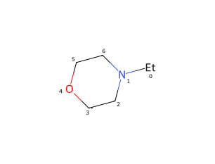 CCN1C[CH]OCC1